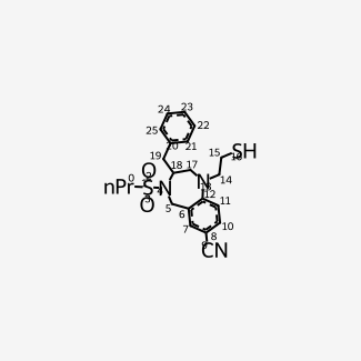 CCCS(=O)(=O)N1Cc2cc(C#N)ccc2N(CCS)CC1Cc1ccccc1